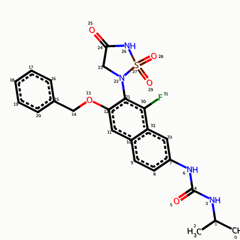 CC(C)NC(=O)Nc1ccc2cc(OCc3ccccc3)c(N3CC(=O)NS3(=O)=O)c(F)c2c1